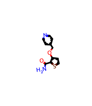 NC(=O)c1sccc1OCc1ccncc1